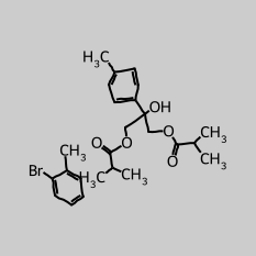 Cc1ccc(C(O)(COC(=O)C(C)C)COC(=O)C(C)C)cc1.Cc1ccccc1Br